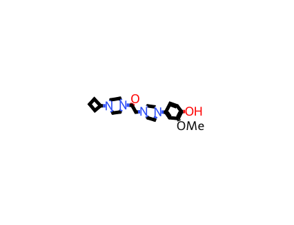 COc1cc(N2CCN(CC(=O)N3CCN(C4CCC4)CC3)CC2)ccc1O